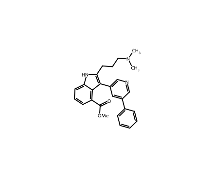 COC(=O)c1cccc2[nH]c(CCCN(C)C)c(-c3cncc(-c4ccccc4)c3)c12